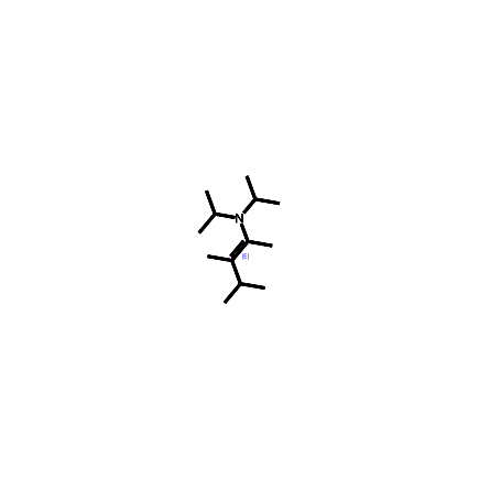 C/C(=C(/C)N(C(C)C)C(C)C)C(C)C